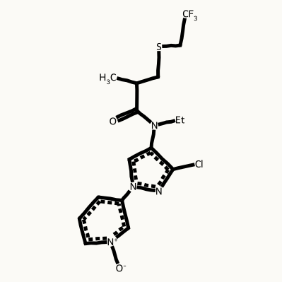 CCN(C(=O)C(C)CSCC(F)(F)F)c1cn(-c2ccc[n+]([O-])c2)nc1Cl